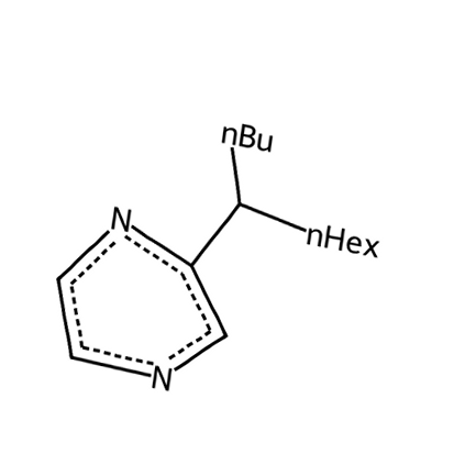 CCCCCCC(CCCC)c1cnccn1